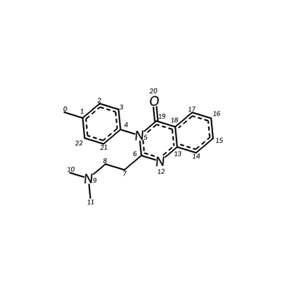 Cc1ccc(-n2c(CCN(C)C)nc3ccccc3c2=O)cc1